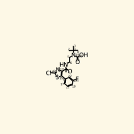 CC(C)(C)N(CCNC(=O)c1nc(Cl)sc1-c1cccc(F)c1)C(=O)O